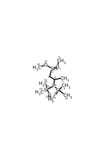 CO[SiH](CC(C)P([Si](C)(C)C)[Si](C)(C)C)OC